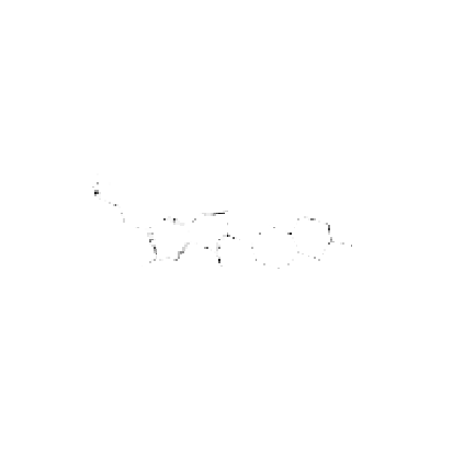 C=CCOc1cc2ccc([C@@H]3CC[C@@H]4CC(CC)CCC4C3)c(F)c2cc1F